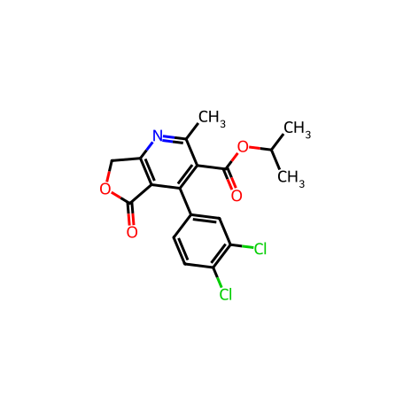 Cc1nc2c(c(-c3ccc(Cl)c(Cl)c3)c1C(=O)OC(C)C)C(=O)OC2